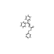 O=C(CCc1ccccc1)ON=C(c1ccccc1)c1ccccc1